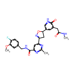 CNC(=O)Cc1cc(C2CC(c3cc(C(=O)NCc4ccc(F)c(OC)c4)nc(C)n3)=NO2)c[nH]c1=O